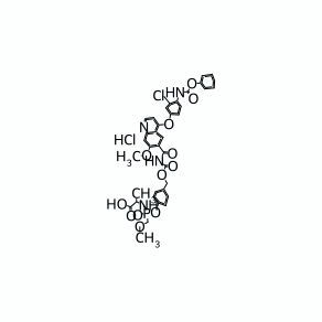 COCP(=O)(NC(C)C(=O)O)Oc1ccc(COC(=O)NC(=O)c2cc3c(Oc4ccc(NC(=O)Oc5ccccc5)c(Cl)c4)ccnc3cc2OC)cc1.Cl